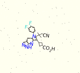 CC(C)(CC#N)c1c(C2CC(C(=O)O)C2)c2nc3[nH]ncc3cc2n1-c1ccc(F)c(F)c1